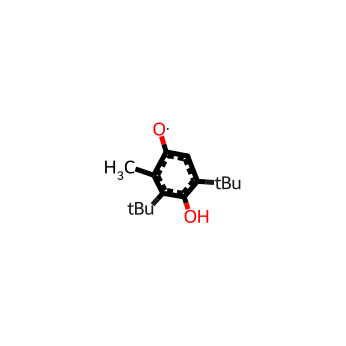 Cc1c([O])cc(C(C)(C)C)c(O)c1C(C)(C)C